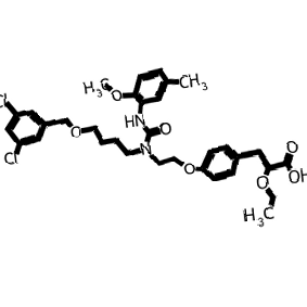 CCOC(Cc1ccc(OCCN(CCCCOCc2cc(Cl)cc(Cl)c2)C(=O)Nc2cc(C)ccc2OC)cc1)C(=O)O